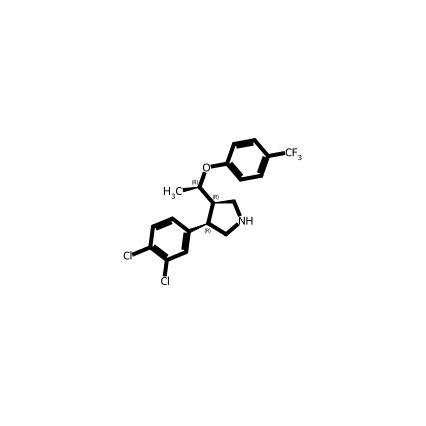 C[C@@H](Oc1ccc(C(F)(F)F)cc1)[C@H]1CNC[C@H]1c1ccc(Cl)c(Cl)c1